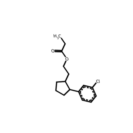 CCC(=O)OCCC1CCCC1c1cccc(Cl)c1